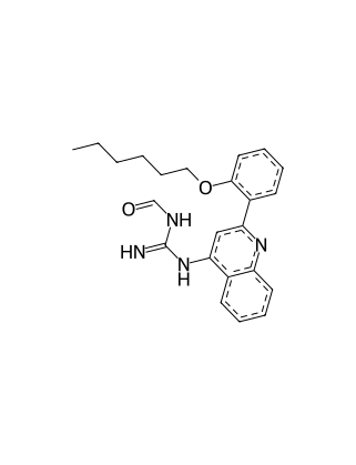 CCCCCCOc1ccccc1-c1cc(NC(=N)NC=O)c2ccccc2n1